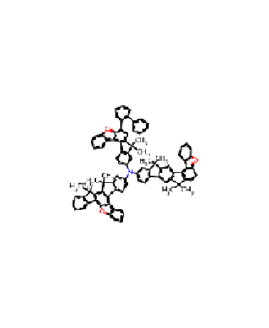 CC1(C)c2cc(N(c3ccc4c(c3)C(C)(C)c3cc(-c5ccccc5-c5ccccc5)c5oc6ccccc6c5c3-4)c3ccc4c(c3)C(C)(C)c3c5c(c6oc7ccccc7c6c3-4)-c3ccccc3C5(C)C)ccc2-c2cc3c(cc21)-c1c(ccc2oc4ccccc4c12)C3(C)C